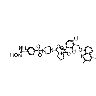 Cc1cc(C)c2cccc(OCc3c(Cl)ccc(S(=O)(=O)N4CCC[C@H]4C(=O)N4CCN(S(=O)(=O)c5ccc(C(N)=NO)cc5)CC4)c3Cl)c2n1